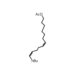 CCCC/C=C\CC/C=C\CCCCCCOC(C)=O